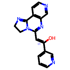 O/C(=C\C1=Nc2cnccc2C2=NCCN12)c1cccnc1